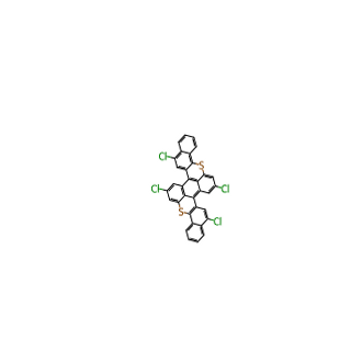 Clc1cc2sc3c4ccccc4c(Cl)cc3c3c4cc(Cl)cc5sc6c7ccccc7c(Cl)cc6c(c(c1)c23)c54